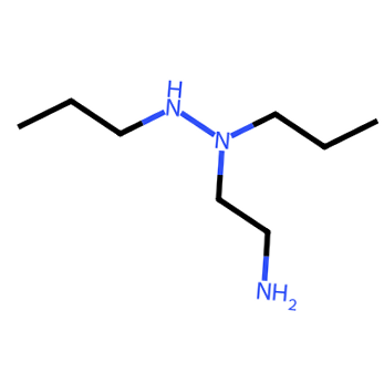 CCCNN(CCC)CCN